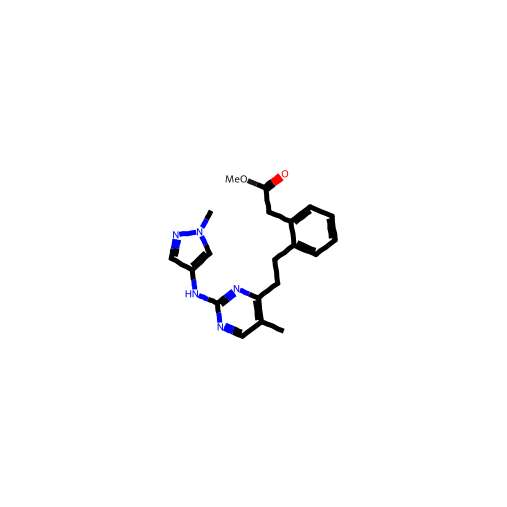 COC(=O)Cc1ccccc1CCc1nc(Nc2cnn(C)c2)ncc1C